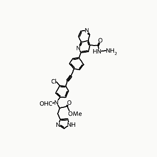 COC(=O)C(Cc1c[nH]cn1)N(C=O)c1ccc(C#Cc2ccc(-c3cc(C(=O)NN)c4cnccc4n3)cc2)c(Cl)c1